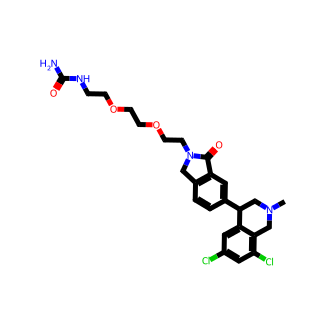 CN1Cc2c(Cl)cc(Cl)cc2C(c2ccc3c(c2)C(=O)N(CCOCCOCCNC(N)=O)C3)C1